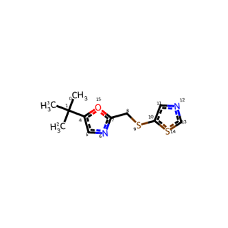 CC(C)(C)c1cnc(CSc2cncs2)o1